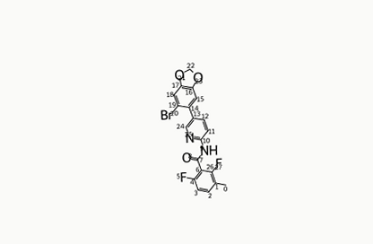 Cc1ccc(F)c(C(=O)Nc2ccc(-c3cc4c(cc3Br)OCO4)cn2)c1F